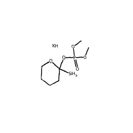 COP(=O)(OC)OC1([SiH3])CCCCO1.[KH]